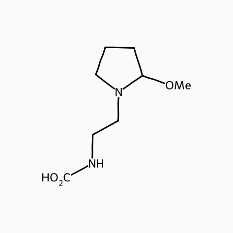 COC1CCCN1CCNC(=O)O